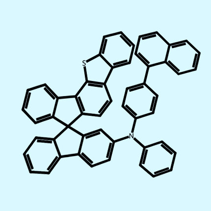 c1ccc(N(c2ccc(-c3cccc4ccccc34)cc2)c2ccc3c(c2)C2(c4ccccc4-3)c3ccccc3-c3c2ccc2c3sc3ccccc32)cc1